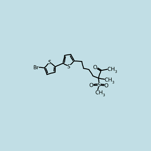 CC(=O)C(C)(CCCCc1ccc(-c2ccc(Br)s2)s1)S(C)(=O)=O